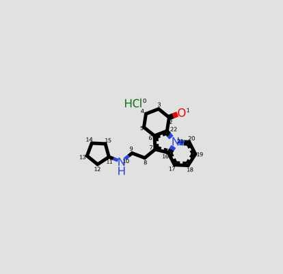 Cl.O=C1CCCc2c(CCNC3CCCC3)c3ccccn3c21